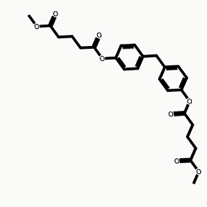 COC(=O)CCCC(=O)Oc1ccc(Cc2ccc(OC(=O)CCCC(=O)OC)cc2)cc1